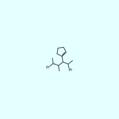 CCN(C)C(C)C(C1=CCCC1)C(C)C(C)C